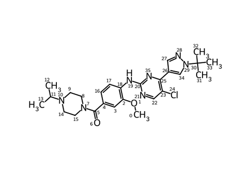 COc1cc(C(=O)N2CCN(C(C)C)CC2)ccc1Nc1ncc(Cl)c(-c2cnn(C(C)(C)C)c2)n1